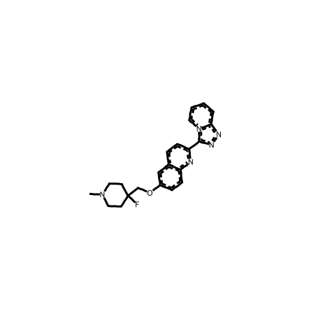 CN1CCC(F)(COc2ccc3nc(-c4nnc5ccccn45)ccc3c2)CC1